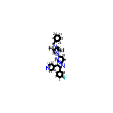 Fc1cccc(-c2nc3ccc(N4C[C@@H]5C[C@H]4CN5Cc4ccccc4)nn3c2-c2ccncc2)c1